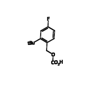 CC(C)(C)c1cc(F)ccc1COC(=O)O